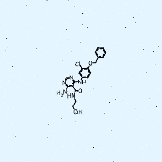 Nc1ncnc(Nc2ccc(OCc3ccccc3)c(Cl)c2)c1C(=O)NCCO